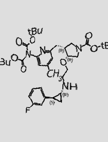 Cc1cc(C[C@@H]2CN(C(=O)OC(C)(C)C)C[C@@H]2OCCN[C@@H]2C[C@H]2c2cccc(F)c2)nc(N(C(=O)OC(C)(C)C)C(=O)OC(C)(C)C)c1